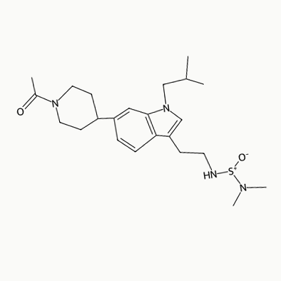 CC(=O)N1CCC(c2ccc3c(CCN[S+]([O-])N(C)C)cn(CC(C)C)c3c2)CC1